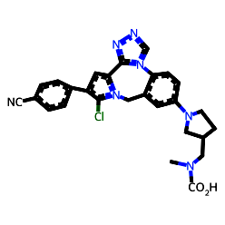 CN(CC1CCN(c2ccc3c(c2)Cn2c(cc(-c4ccc(C#N)cc4)c2Cl)-c2nncn2-3)C1)C(=O)O